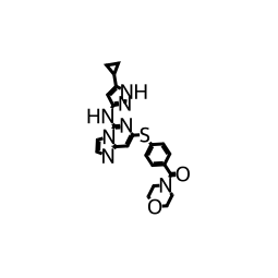 O=C(c1ccc(Sc2cc3nccn3c(Nc3cc(C4CC4)[nH]n3)n2)cc1)N1CCOCC1